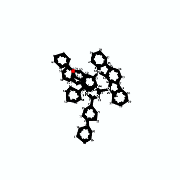 c1ccc(-c2ccc(-c3nc(-c4ccc(-c5ccccc5)cc4)nc(-n4c5ccccc5c5ccc6c7ccccc7n(-c7ccc(-c8ccccc8)c(-c8ccccc8)c7)c6c54)n3)cc2)cc1